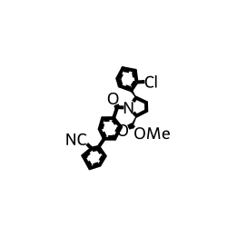 COC(=O)[C@@H]1CC[C@H](c2ccccc2Cl)N1C(=O)c1ccc(-c2ccccc2C#N)cc1